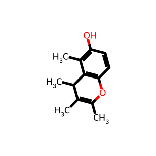 CC1=C(C)C(C)c2c(ccc(O)c2C)O1